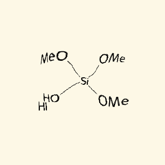 CO[Si](O)(OC)OC.I